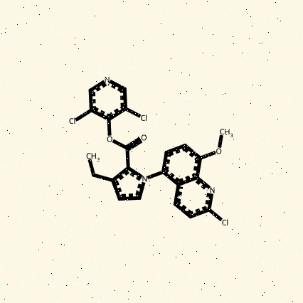 CCc1ccn(-c2ccc(OC)c3nc(Cl)ccc23)c1C(=O)Oc1c(Cl)cncc1Cl